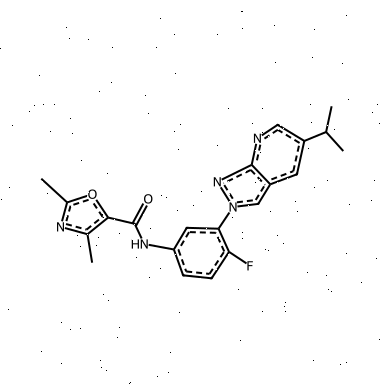 Cc1nc(C)c(C(=O)Nc2ccc(F)c(-n3cc4cc(C(C)C)cnc4n3)c2)o1